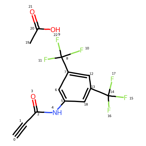 C#CC(=O)Nc1cc(C(F)(F)F)cc(C(F)(F)F)c1.CC(=O)O